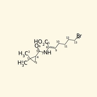 CC1(C)CC1C(=O)N/C(=C/CCCCBr)C(=O)O